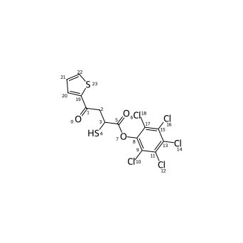 O=C(CC(S)C(=O)Oc1c(Cl)c(Cl)c(Cl)c(Cl)c1Cl)c1cccs1